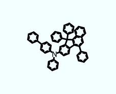 c1ccc(-c2ccc(N(c3ccccc3)c3ccc4c(c3)C(c3ccccc3)(c3ccccc3)c3c-4c(-c4ccccc4)cc4ccccc34)cc2)cc1